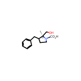 C[C@@]1(CO)C(Cc2ccccc2)CCN1C(=O)O